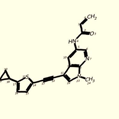 C=CC(=O)Nc1cnc2c(c1)c(C#Cc1ccc(C3CC3)s1)cn2C